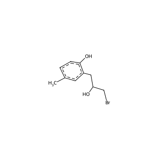 Cc1ccc(O)c(CC(O)CBr)c1